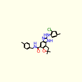 Cc1ccc(CNC(=O)c2cc3nc(Nc4ccc(C)cc4Cl)[nH]c3c3c2OC(C)(C)C3)cc1